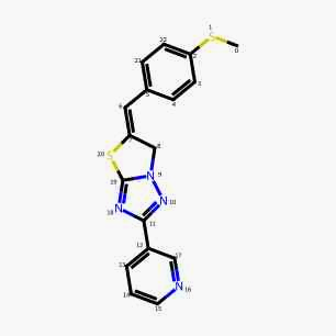 CSc1ccc(C=C2Cn3nc(-c4cccnc4)nc3S2)cc1